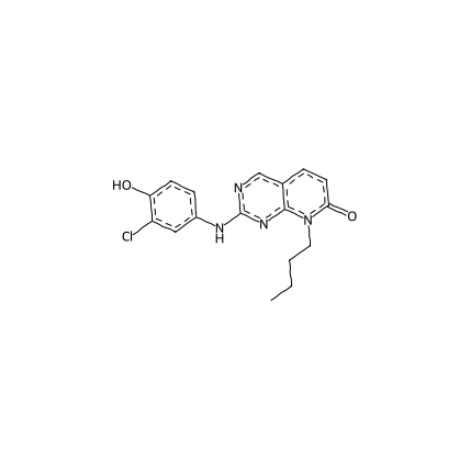 CCCCn1c(=O)ccc2cnc(Nc3ccc(O)c(Cl)c3)nc21